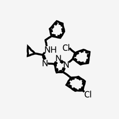 Clc1ccc(-c2cc(N=C(NCc3ccccc3)C3CC3)nn2-c2ccccc2Cl)cc1